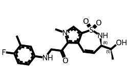 Cc1cc(NCC(=O)c2c3c(cn2C)S(=O)(=O)N[C@@H]([C@H](C)O)C=C3)ccc1F